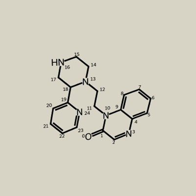 O=c1cnc2ccccc2n1CCN1CCNCC1c1ccccn1